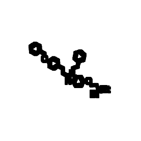 CCN(CC)CCOc1ccc2nc(CCc3ccc(OCc4ccccc4)cc3)n(CCc3ccccc3)c2c1